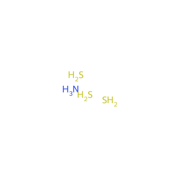 N.S.S.S